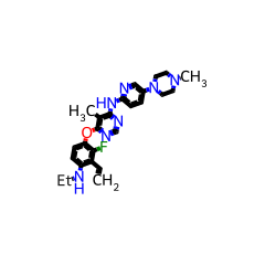 C=Cc1c(NCC)ccc(Oc2ncnc(Nc3ccc(N4CCN(C)CC4)cn3)c2C)c1F